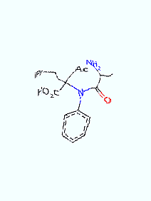 CC(=O)C(CC(C)C)(C(=O)O)N(C(=O)C(C)N)c1ccccc1